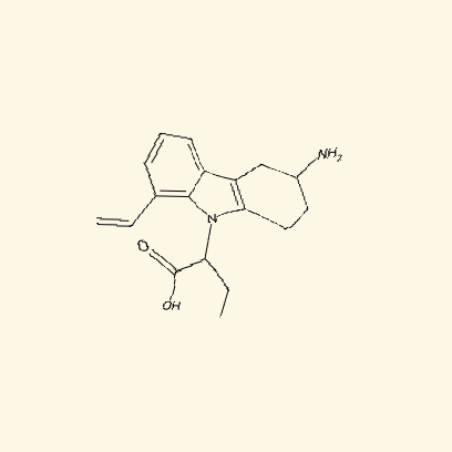 C=Cc1cccc2c3c(n(C(CC)C(=O)O)c12)CCC(N)C3